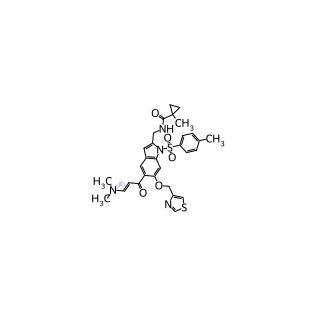 Cc1ccc(S(=O)(=O)n2c(CNC(=O)C3(C)CC3)cc3cc(C(=O)/C=C/N(C)C)c(OCc4cscn4)cc32)cc1